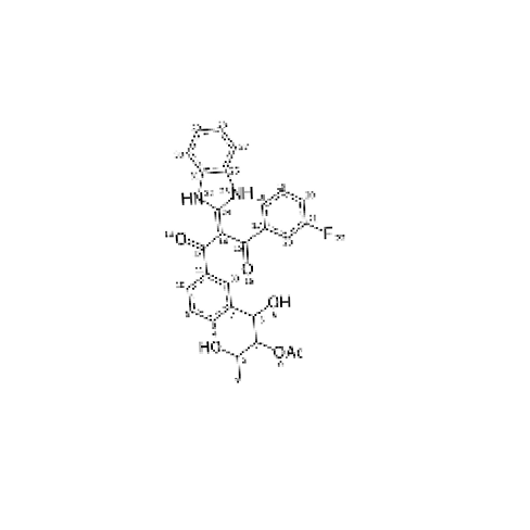 CC(=O)OC(C(C)O)C(O)c1cccc(C(=O)C(C(=O)c2cccc(F)c2)=C2Nc3ccccc3N2)c1